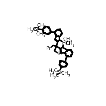 CC(C)CC1(CC(C)C)C2=Cc3c(-c4ccc([Si](C)(C)C)cc4)cccc3[CH]2[Hf]([CH3])([CH3])[CH]2C1=Cc1c(-c3ccc([Si](C)(C)C)cc3)cccc12